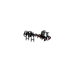 COC(=O)N[C@H](C(=O)N1CCC[C@H]1c1ncc(-c2ccc(-c3ccc(-c4nc5[nH]c4COCCCCCC[C@@H](c4ccccc4)C(=O)N4CC6(CC6)C[C@@H]54)cc3)cc2)[nH]1)C(C)C